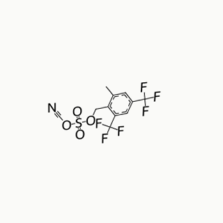 Cc1cc(C(F)(F)F)cc(C(F)(F)F)c1COS(=O)(=O)OC#N